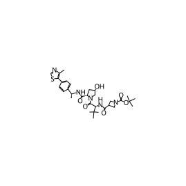 Cc1ncsc1-c1ccc([C@H](C)NC(=O)[C@H]2C[C@@H](O)CN2C(=O)[C@@H](NC(=O)C2CN(C(=O)OC(C)(C)C)C2)C(C)(C)C)cc1